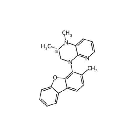 Cc1ccc2c(oc3ccccc32)c1N1C[C@H](C)N(C)c2cccnc21